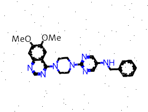 COc1cc2ncnc(N3CCN(c4ncc(NCc5ccccc5)cn4)CC3)c2cc1OC